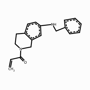 C=CC(=O)N1CCc2ccc(NCc3ccccc3)cc2C1